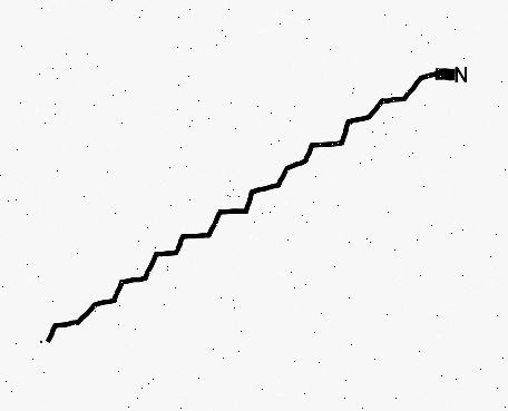 [CH2]CCCCCCCCCCCCCCCCCCCCCCCC#N